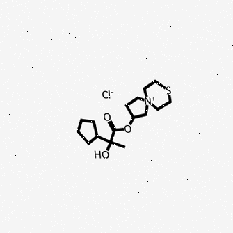 CC(O)(C(=O)OC1CC[N+]2(CCSCC2)C1)C1CCCC1.[Cl-]